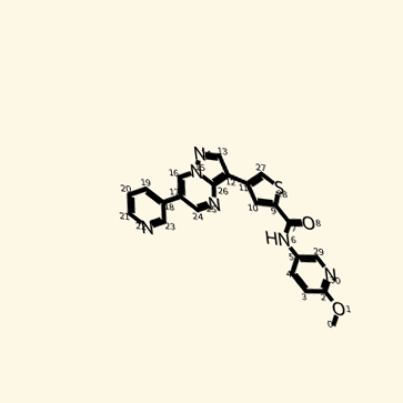 COc1ccc(NC(=O)c2cc(-c3cnn4cc(-c5cccnc5)cnc34)cs2)cn1